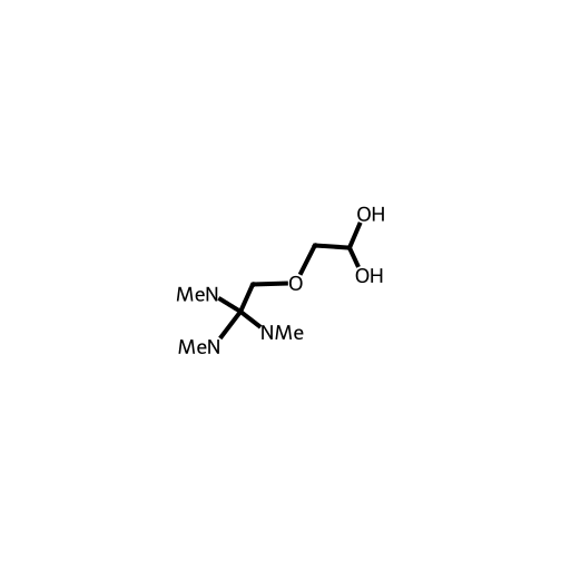 CNC(COCC(O)O)(NC)NC